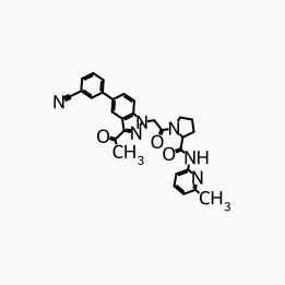 CC(=O)c1nn(CC(=O)N2CCCC2C(=O)Nc2cccc(C)n2)c2ccc(-c3cccc(C#N)c3)cc12